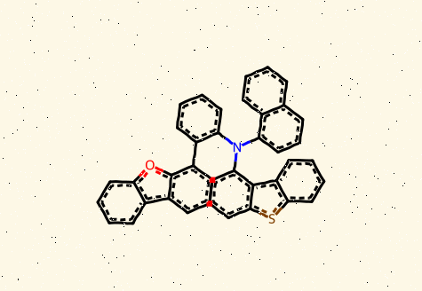 c1ccc(N(c2cccc3ccccc23)c2cccc3sc4ccccc4c23)c(-c2cccc3c2oc2ccccc23)c1